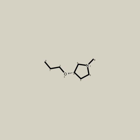 CCCO[C@H]1CCN(C)C1